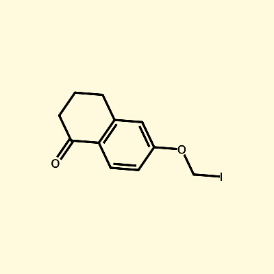 O=C1CCCc2cc(OCI)ccc21